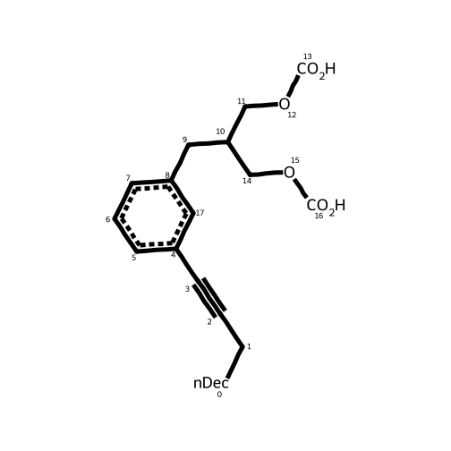 CCCCCCCCCCCC#Cc1cccc(CC(COC(=O)O)COC(=O)O)c1